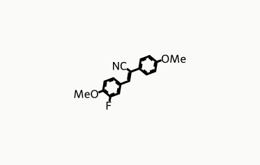 COc1ccc(C(C#N)=Cc2ccc(OC)c(F)c2)cc1